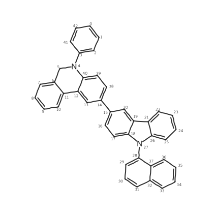 c1ccc(N2Cc3ccccc3-c3cc(-c4ccc5c(c4)c4ccccc4n5-c4cccc5ccccc45)ccc32)cc1